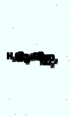 C=C(C)C(=O)OCCOC(=O)/C=C/c1ccc(OCCOC(=O)c2cc([N+](=O)[O-])cc([N+](=O)[O-])c2)cc1